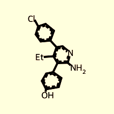 CCc1c(-c2ccc(Cl)cc2)cnc(N)c1-c1ccc(O)cc1